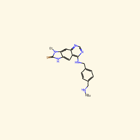 CCCCNCc1ccc(CNc2ncnc3cc4c(cc23)[nH]c(=S)n4CC)cc1